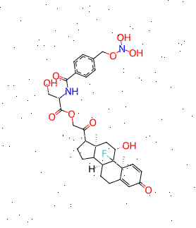 C[C@]12C[C@H](O)C3(F)[C@@H](CCC4=CC(=O)C=C[C@@]43C)C1CCC2C(=O)COC(=O)C(CO)NC(=O)c1ccc(CON(O)O)cc1